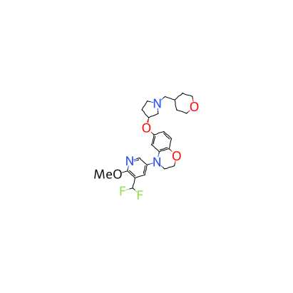 COc1ncc(N2CCOc3ccc(O[C@H]4CCN(CC5CCOCC5)C4)cc32)cc1C(F)F